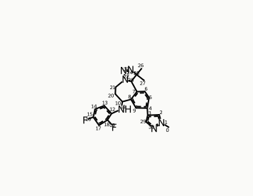 Cn1cc(-c2ccc3c(c2)C(Nc2ccc(F)cc2F)CCN2N=NC(C)(C)C32)cn1